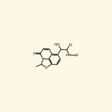 CCC(NC(C)C)C(O)c1ccc2c3c1ccc(=O)n3C(C)O2